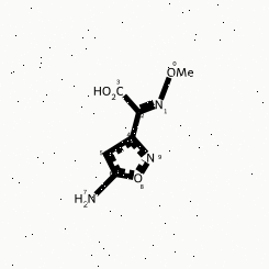 CO/N=C(\C(=O)O)c1cc(N)on1